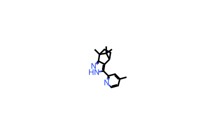 Cc1ccnc(-c2[nH]nc3c2C2CCC3(C)C2(C)C)c1